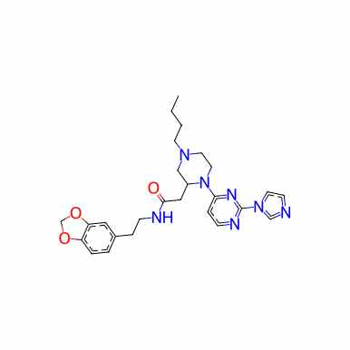 CCCCN1CCN(c2ccnc(-n3ccnc3)n2)C(CC(=O)NCCc2ccc3c(c2)OCO3)C1